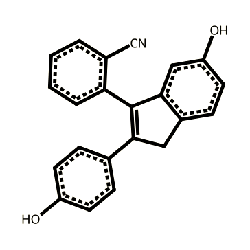 N#Cc1ccccc1C1=C(c2ccc(O)cc2)Cc2ccc(O)cc21